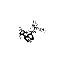 NC(N)=NC(=O)c1ccc2nccc(-c3c(F)cc(F)cc3F)c2c1